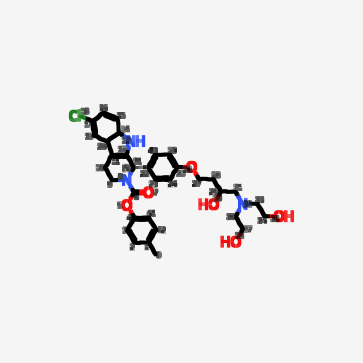 Cc1ccc(OC(=O)N2CCC3=C(NC4C=CC(Cl)=CC34)[C@@H]2c2ccc(OCCC(O)CN(CCO)CCO)cc2)cc1